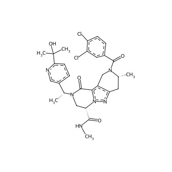 CNC(=O)[C@@H]1CN([C@H](C)c2ccc(C(C)(C)O)nc2)C(=O)c2c3c(nn21)C[C@@H](C)N(C(=O)c1ccc(Cl)c(Cl)c1)C3